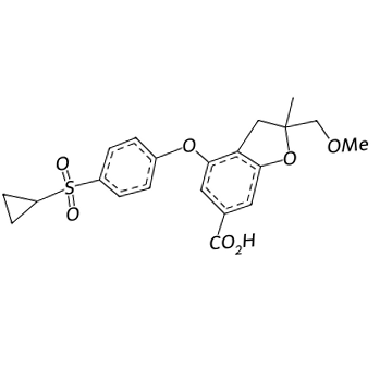 COCC1(C)Cc2c(Oc3ccc(S(=O)(=O)C4CC4)cc3)cc(C(=O)O)cc2O1